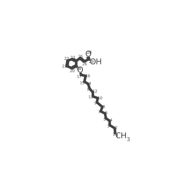 CCCCCCCCCCCCCCCCCCOc1ccccc1C=CC(=O)O